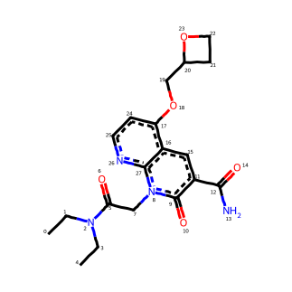 CCN(CC)C(=O)Cn1c(=O)c(C(N)=O)cc2c(OCC3CCO3)ccnc21